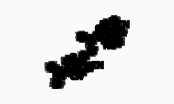 N#Cc1cccc(-n2c3cc(-c4cccc(-c5cc(-c6ccc(-n7c8ccccc8c8c9c(c%10ccccc%10n9-c9ccccc9C#N)c9c(c%10ccccc%10n9-c9ccccc9C#N)c87)c(C#N)c6)nc(-c6ccccc6)n5)c4)ccc3c3c4oc5ccccc5c4c4c(c5ccccc5n4-c4ccc(-c5nc(-c6ccccc6)nc(-c6ccccc6)n5)cc4C#N)c32)c1